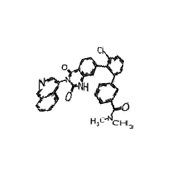 CN(C)C(=O)c1cccc(-c2cccc(Cl)c2-c2ccc3c(=O)n(-c4cncc5ccccc45)c(=O)[nH]c3c2)c1